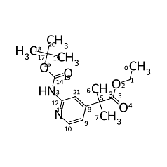 CCOC(=O)C(C)(C)c1ccnc(NC(=O)OC(C)(C)C)c1